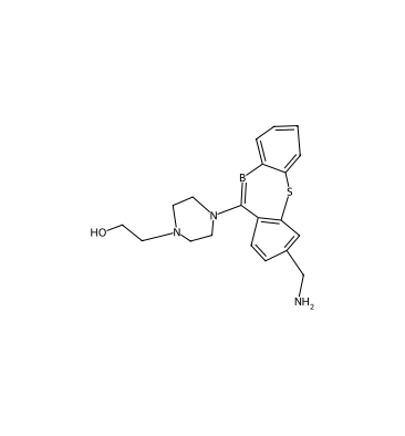 NCc1ccc2c(c1)Sc1ccccc1B=C2N1CCN(CCO)CC1